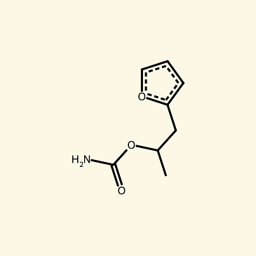 CC(Cc1ccco1)OC(N)=O